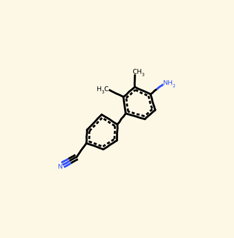 Cc1c(N)ccc(-c2ccc(C#N)cc2)c1C